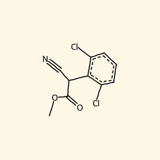 COC(=O)C(C#N)c1c(Cl)cccc1Cl